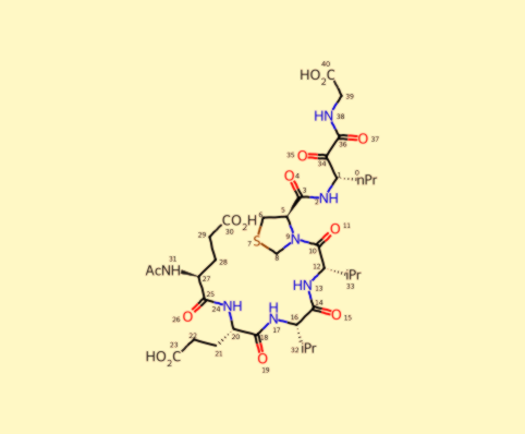 CCC[C@H](NC(=O)[C@@H]1CSCN1C(=O)[C@@H](NC(=O)[C@@H](NC(=O)[C@H](CCC(=O)O)NC(=O)[C@H](CCC(=O)O)NC(C)=O)C(C)C)C(C)C)C(=O)C(=O)NCC(=O)O